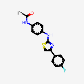 CC(C)C(=O)Nc1ccc(Nc2nc(-c3ccc(F)cc3)cs2)cc1